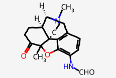 CN1CC[C@]23c4c5ccc(NC=O)c4OC2(C)C(=O)CC[C@H]3[C@H]1C5